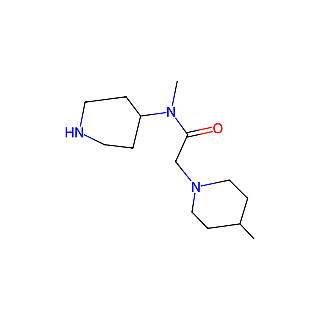 CC1CCN(CC(=O)N(C)C2CCNCC2)CC1